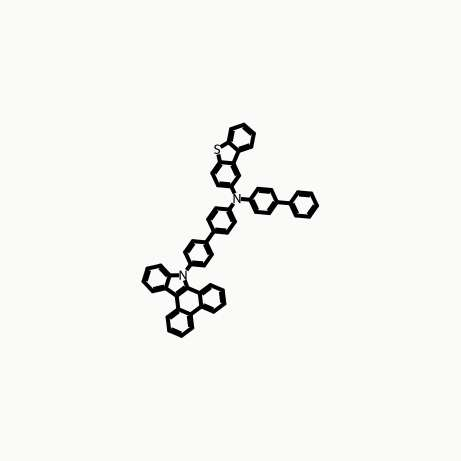 c1ccc(-c2ccc(N(c3ccc(-c4ccc(-n5c6ccccc6c6c7ccccc7c7ccccc7c65)cc4)cc3)c3ccc4sc5ccccc5c4c3)cc2)cc1